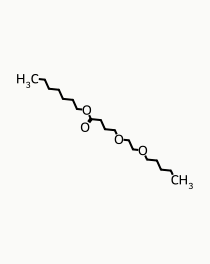 CCCCCCCOC(=O)CCCOCCOCCCCC